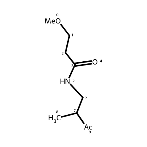 COCCC(=O)NCC(C)C(C)=O